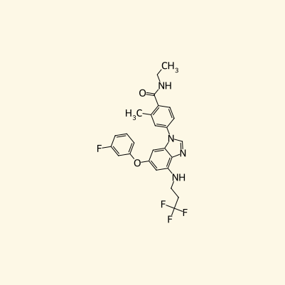 CCNC(=O)c1ccc(-n2cnc3c(NCCC(F)(F)F)cc(Oc4cccc(F)c4)cc32)cc1C